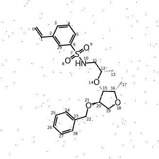 C=Cc1cccc(S(=O)(=O)NC[C@H](C)O[C@@H]2[C@H](C)OC[C@H]2OCc2ccccc2)c1